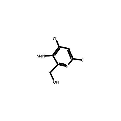 CNc1c(Cl)cc(Cl)nc1CO